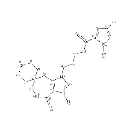 CCc1nn(CCCOC(=O)c2cc(C)cn2CC)c2c1C(=O)NCC1(CCOCC1)C2